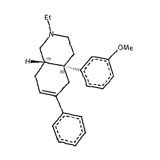 CCN1CC[C@@]2(c3cccc(OC)c3)CC(c3ccccc3)=CC[C@@H]2C1